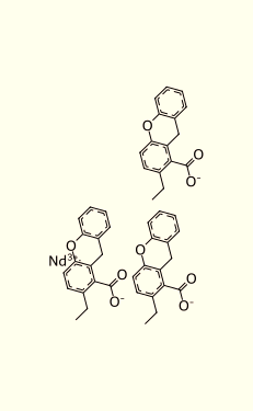 CCc1ccc2c(c1C(=O)[O-])Cc1ccccc1O2.CCc1ccc2c(c1C(=O)[O-])Cc1ccccc1O2.CCc1ccc2c(c1C(=O)[O-])Cc1ccccc1O2.[Nd+3]